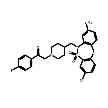 COc1ccc2c(c1)N(CC1CCN(CC(=O)c3ccc(F)cc3)CC1)S(=O)(=O)c1cc(Cl)ccc1O2